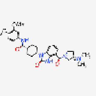 COc1cc(NC(=O)[C@H]2CC[C@@H](n3c(=O)[nH]c4c(C(=O)N5CC[C@H](N(C)C)C5)cccc43)CC2)ccc1C